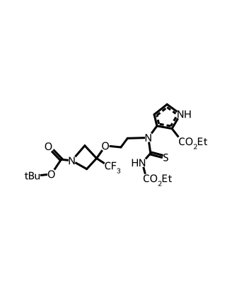 CCOC(=O)NC(=S)N(CCOC1(C(F)(F)F)CN(C(=O)OC(C)(C)C)C1)c1cc[nH]c1C(=O)OCC